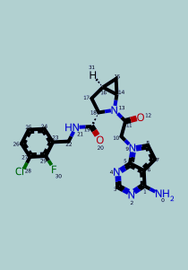 Nc1ncnc2c1ccn2CC(=O)N1C2C[C@@H]2C[C@H]1C(=O)NCc1cccc(Cl)c1F